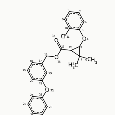 CC1(C)C(Oc2ccccc2Cl)C1C(=O)OCc1cccc(Oc2ccccc2)c1